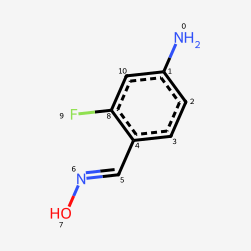 Nc1ccc(C=NO)c(F)c1